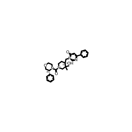 CC1(C)CN(C(=O)N2CCOC[C@H]2c2ccccc2)CC[C@@]1(O)Cn1cnc(-c2ccccc2)cc1=O